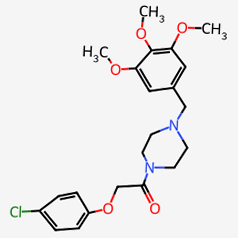 COc1cc(CN2CCN(C(=O)COc3ccc(Cl)cc3)CC2)cc(OC)c1OC